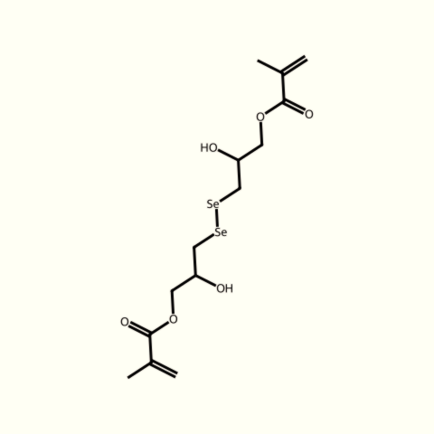 C=C(C)C(=O)OCC(O)C[Se][Se]CC(O)COC(=O)C(=C)C